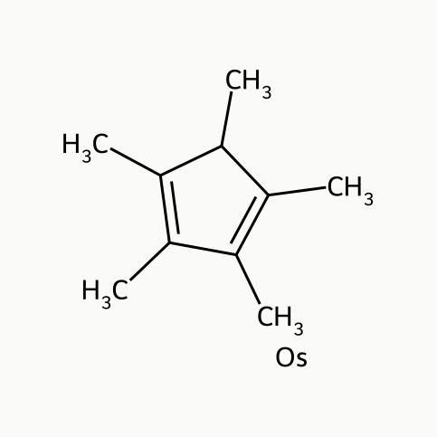 CC1=C(C)C(C)C(C)=C1C.[Os]